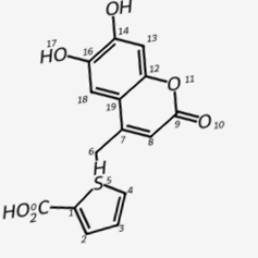 O=C(O)C1=CC=C[SH]1Cc1cc(=O)oc2cc(O)c(O)cc12